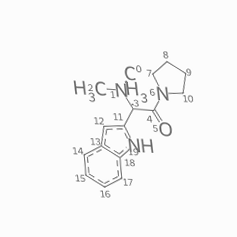 CN(C)[C](C(=O)N1CCCC1)c1cc2ccccc2[nH]1